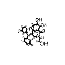 O=C1C2=C(O)C(O)C=NN2[C@@H](C(c2cccc(F)c2)c2cccc(F)c2)CN1CCO